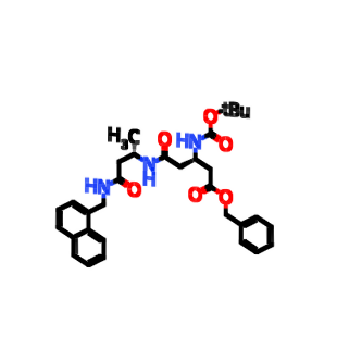 C[C@@H](CC(=O)NCc1cccc2ccccc12)NC(=O)C[C@H](CC(=O)OCc1ccccc1)NC(=O)OC(C)(C)C